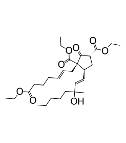 CCCCCC(C)(O)C=C[C@@H]1C[C@@H](C(=O)OCC)C(=O)[C@@]1(CC=CCCCC(=O)OCC)C(=O)OCC